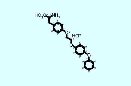 Cl.NC(Cc1ccc(OCCOc2ccc(Oc3ccccc3)cc2)cc1)C(=O)O